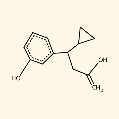 C=C(O)CC(c1cccc(O)c1)C1CC1